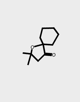 CC1(C)CC(=O)C2(CCCCC2)O1